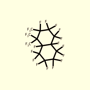 FC(F)(F)C1(F)C(F)(F)C(F)(F)C2(F)C(F)(F)C(F)(F)C(F)(F)C(F)(F)C2(F)C1(C(F)(F)F)C(F)(F)F